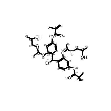 C=C(C)C(=O)Oc1ccc(C(CC)c2ccc(OC(=O)C(=C)C)cc2OC(C)OCC(C)O)c(OC(C)OCC(C)O)c1